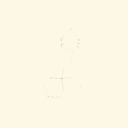 COC1(CCc2ccccc2)CCCNC1